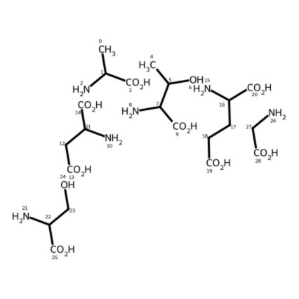 CC(N)C(=O)O.CC(O)C(N)C(=O)O.NC(CC(=O)O)C(=O)O.NC(CCC(=O)O)C(=O)O.NC(CO)C(=O)O.NCC(=O)O